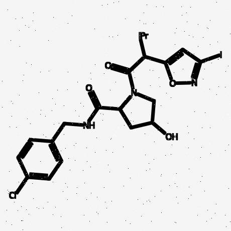 CC(C)C(C(=O)N1CC(O)CC1C(=O)NCc1ccc(Cl)cc1)c1cc(I)no1